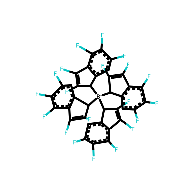 FC1=C(F)C([B-](C2C(F)=C(F)c3c2cc(F)c(F)c3F)(C2C(F)=C(F)c3c2cc(F)c(F)c3F)C2C(F)=C(F)c3c2cc(F)c(F)c3F)c2cc(F)c(F)c(F)c21